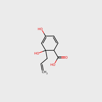 C=CCC1(O)C=C(O)C=CC1C(=O)O